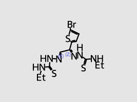 CCNC(=S)N/N=C(/C=N/NC(=S)NCC)c1ccc(Br)s1